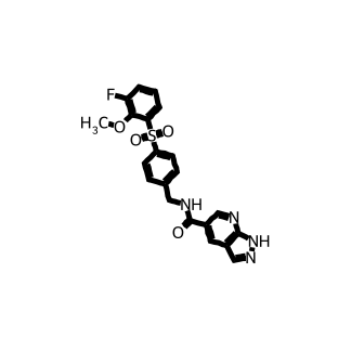 COc1c(F)cccc1S(=O)(=O)c1ccc(CNC(=O)c2cnc3[nH]ncc3c2)cc1